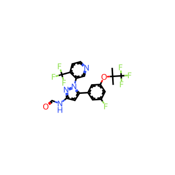 CC(C)(Oc1cc(F)cc(-c2cc(NC=O)nn2-c2cnccc2C(F)(F)F)c1)C(F)(F)F